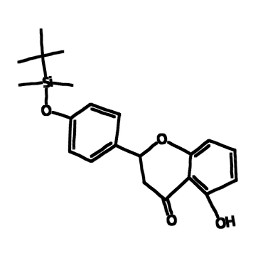 CC(C)(C)[Si](C)(C)Oc1ccc(C2CC(=O)c3c(O)cccc3O2)cc1